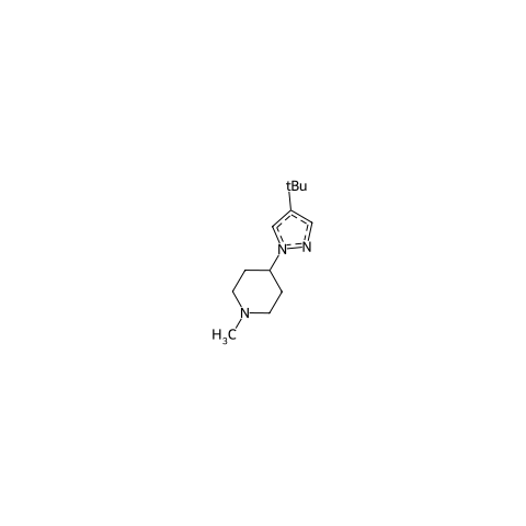 CN1CCC(n2cc(C(C)(C)C)cn2)CC1